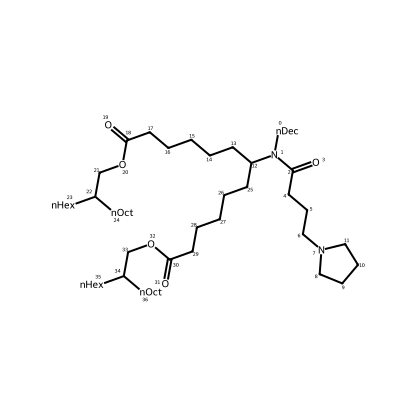 CCCCCCCCCCN(C(=O)CCCN1CCCC1)C(CCCCCC(=O)OCC(CCCCCC)CCCCCCCC)CCCCCC(=O)OCC(CCCCCC)CCCCCCCC